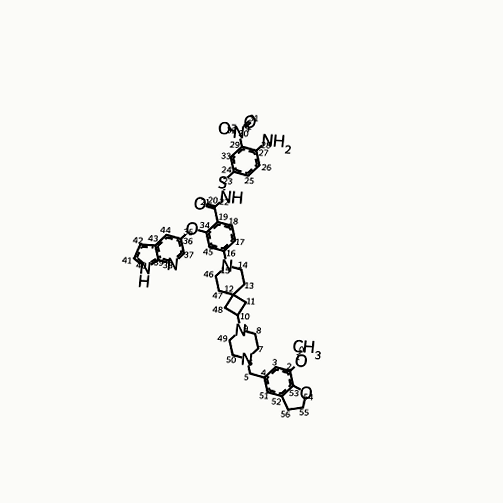 COc1cc(CN2CCN(C3CC4(CCN(c5ccc(C(=O)NSc6ccc(N)c([N+](=O)[O-])c6)c(Oc6cnc7[nH]ccc7c6)c5)CC4)C3)CC2)cc2c1OCC2